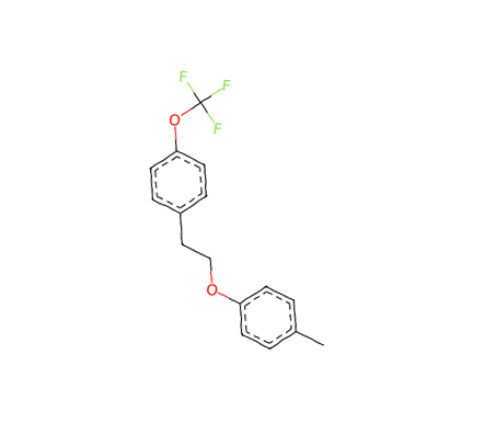 Cc1ccc(OCCc2ccc(OC(F)(F)F)cc2)cc1